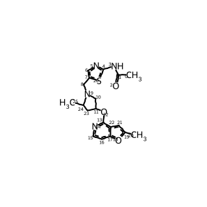 CC(=O)Nc1ncc(CN2CC(Oc3nccc4oc(C)cc34)CC2C)s1